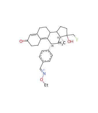 CCO/N=C/c1ccc([C@H]2C[C@@]3(C)C(CCC3(O)CF)C3CCC4=CC(=O)CCC4=C32)cc1